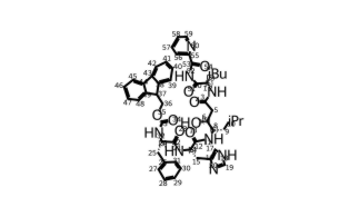 CC[C@H](C)[C@H](NC(=O)C[C@H](O)[C@H](CC(C)C)NC(=O)[C@H](Cc1c[nH]cn1)NC(=O)[C@H](Cc1ccccc1)NC(=O)OCC1c2ccccc2-c2ccccc21)C(=O)NC(=O)c1ccccn1